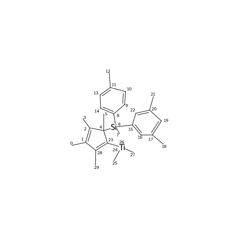 CC1=C(C)C(C)([Si](C)(c2ccc(C)cc2)c2cc(C)cc(C)c2)[C]([Ti]([CH3])([CH3])[CH3])=C1C